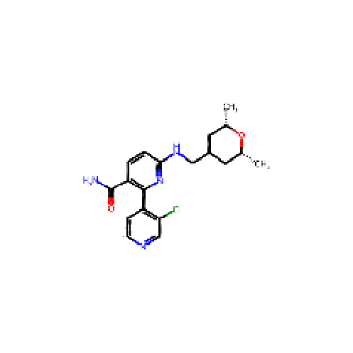 C[C@@H]1CC(CNc2ccc(C(N)=O)c(-c3c[c]ncc3Cl)n2)C[C@H](C)O1